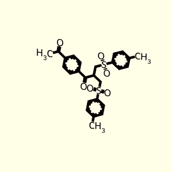 CC(=O)c1ccc(C(=O)C(CS(=O)(=O)c2ccc(C)cc2)CS(=O)(=O)c2ccc(C)cc2)cc1